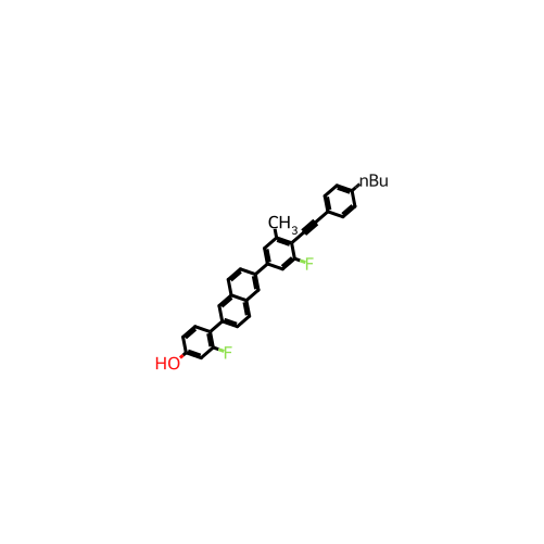 CCCCc1ccc(C#Cc2c(C)cc(-c3ccc4cc(-c5ccc(O)cc5F)ccc4c3)cc2F)cc1